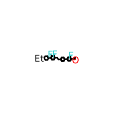 CCC1CC=C(c2ccc(CCc3ccc(-c4ccc(C5CO5)c(F)c4)cc3)c(F)c2F)CC1